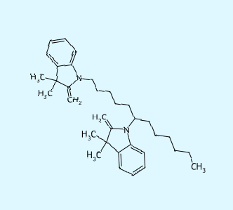 C=C1N(CCCCCC(CCCCCC)N2C(=C)C(C)(C)c3ccccc32)c2ccccc2C1(C)C